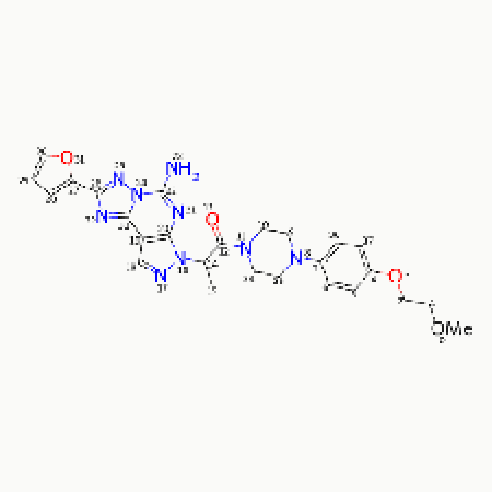 COCCOc1ccc(N2CCN(C(=O)C(C)n3ncc4c3nc(N)n3nc(-c5ccco5)nc43)CC2)cc1